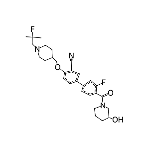 CC(C)(F)CN1CCC(COc2ccc(-c3ccc(C(=O)N4CCCC(O)C4)c(F)c3)cc2C#N)CC1